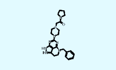 O=C(CN1CCN(c2nc3c4c(n2)N(Cc2ccccc2)CCC4NN3)CC1)N1CCCC1